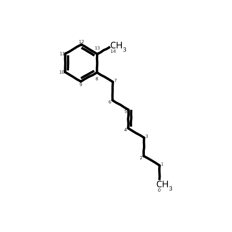 CCCCC=CCCc1ccccc1C